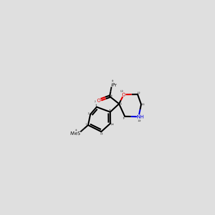 CSc1ccc(C2(C(=O)C(C)C)CNCCO2)cc1